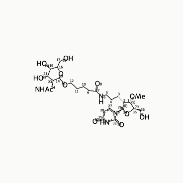 CO[C@H]1[C@@H](CCCNC(=O)CCCCOC2OC(CO)C(O)C(O)C2NC(C)=O)[C@H](n2ccc(=O)[nH]c2=O)O[C@@H]1CO